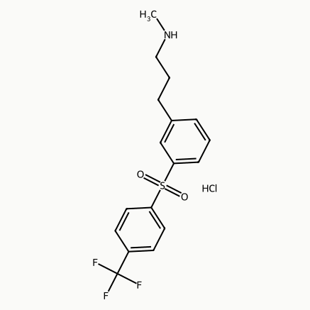 CNCCCc1cccc(S(=O)(=O)c2ccc(C(F)(F)F)cc2)c1.Cl